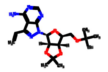 C=Cc1nn([C@@H]2O[C@@H](CO[Si](C)(C)C(C)(C)C)[C@H]3OC(C)(C)O[C@H]32)c2ncnc(N)c12